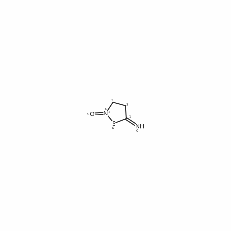 N=C1CC[N+](=O)S1